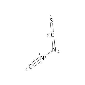 [C-]#[N+]N=C=S